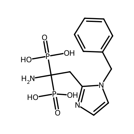 NC(Cc1nccn1Cc1ccccc1)(P(=O)(O)O)P(=O)(O)O